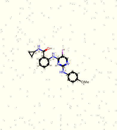 COc1ccc(Nc2ncc(I)c(Nc3ccccc3C(=O)NC3CC3)n2)cc1